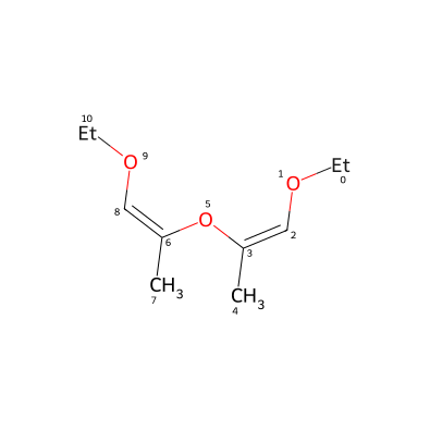 CCO/C=C(/C)O/C(C)=C\OCC